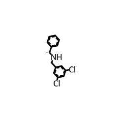 Clc1cc(Cl)cc(CN[CH]c2ccccc2)c1